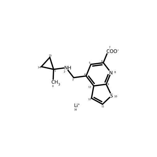 CC1(NCc2cc(C(=O)[O-])nc3sccc23)CC1.[Li+]